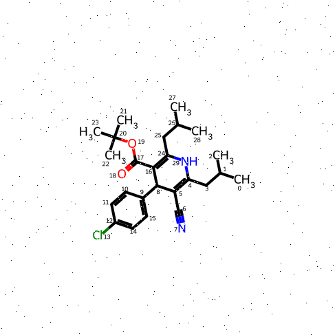 CC(C)CC1=C(C#N)C(c2ccc(Cl)cc2)C(C(=O)OC(C)(C)C)=C(CC(C)C)N1